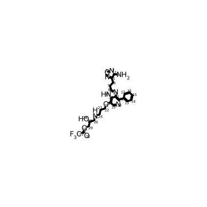 Nc1nonc1CCc1nc2c(-c3ccccc3)ncc(OCCCNC[C@H](O)COC(=O)C(F)(F)F)c2[nH]1